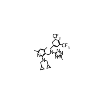 Cc1cc(C)c(CN(CC2=CC(C(F)(F)F)=CC(C(F)(F)F)C2)c2nnn(C)n2)c(N(CC2CC2)CC2CC2)n1